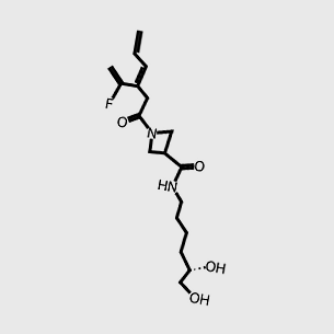 C=C/C=C(/CC(=O)N1CC(C(=O)NCCCC[C@H](O)CO)C1)C(=C)F